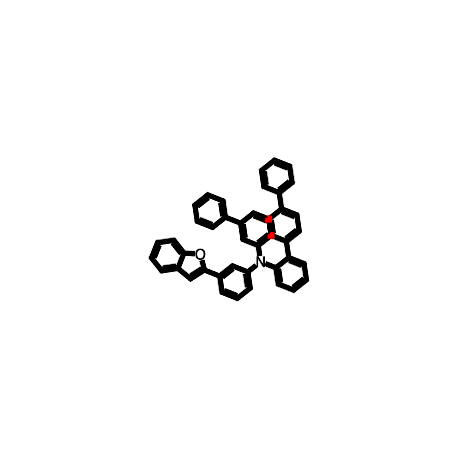 c1ccc(-c2ccc(-c3ccccc3N(c3cccc(-c4ccccc4)c3)c3cccc(-c4cc5ccccc5o4)c3)cc2)cc1